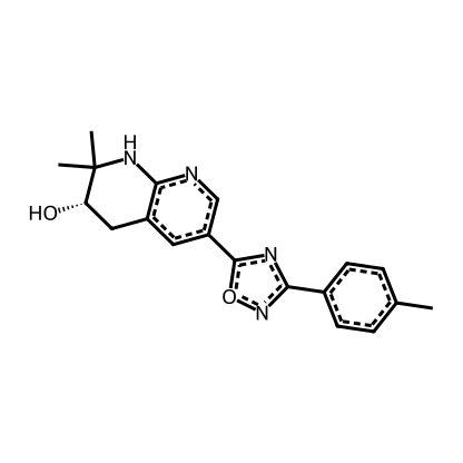 Cc1ccc(-c2noc(-c3cnc4c(c3)C[C@H](O)C(C)(C)N4)n2)cc1